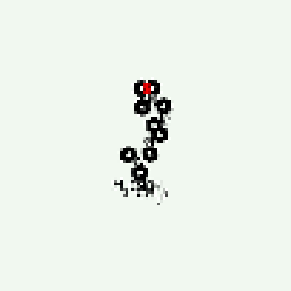 C[Si](C)(C)c1ccc(N(C2=CC=CC(Oc3cccc4c(Oc5cccc(N(c6ccccc6)c6ccccc6-c6ccccc6)c5)cccc34)C2)c2ccccc2)cc1